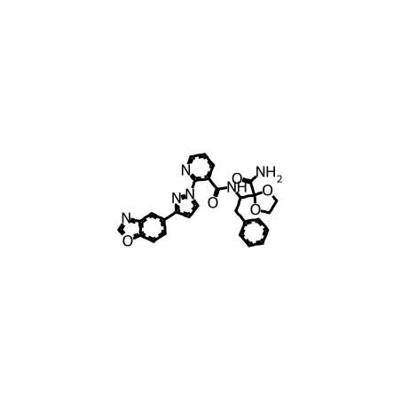 NC(=O)C1(C(Cc2ccccc2)NC(=O)c2cccnc2-n2ccc(-c3ccc4ocnc4c3)n2)OCCO1